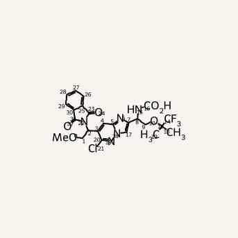 COCC(c1cc2nc(C(COC(C)(C)C(F)(F)F)NC(=O)O)cn2nc1Cl)N1C(=O)c2ccccc2C1=O